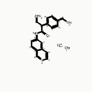 Cl.Cl.NCC(C(=O)Nc1ccc2cnccc2c1)c1ccc(CO)cc1